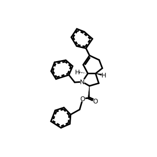 O=C(OCc1ccccc1)[C@@H]1C[C@H]2CCC(c3ccccc3)=C[C@@H]2N1Cc1ccccc1